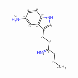 CCCC(=N)CCc1c[nH]c2ccc(N)cc12